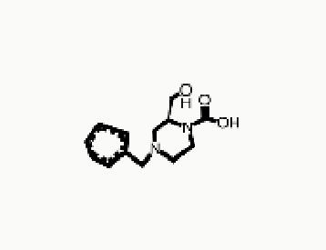 O=C(O)N1CCN(Cc2ccccc2)C[C@H]1CO